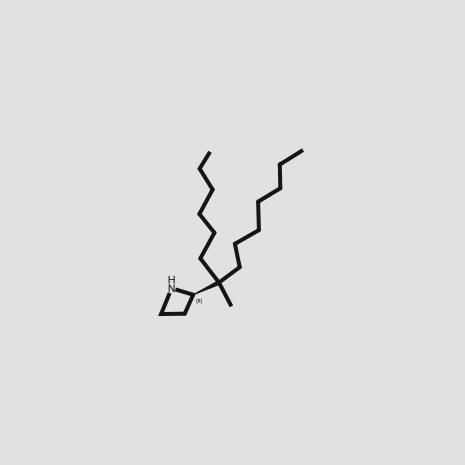 CCCCCCCC(C)(CCCCCC)[C@H]1CCN1